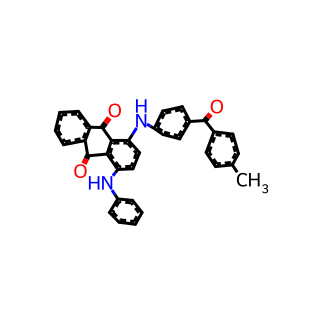 Cc1ccc(C(=O)c2ccc(Nc3ccc(Nc4ccccc4)c4c3C(=O)c3ccccc3C4=O)cc2)cc1